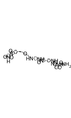 NC(=O)c1ccccc1Nc1nc(Nc2ccc(C3CCN(C(=O)N[C@H]4CC[C@@H](NCCCCOCCC#Cc5ccc6c(c5)CN(C5CCC(=O)NC5=O)C6=O)CC4)CC3)cc2)ncc1Cl